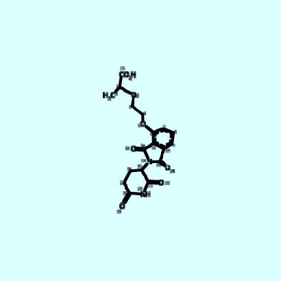 CC(OCCOc1cccc2c1C(=O)N(C1CCC(=O)NC1=O)C2=O)C(=O)O